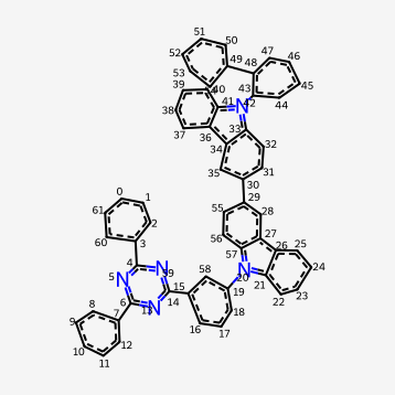 c1ccc(-c2nc(-c3ccccc3)nc(-c3cccc(-n4c5ccccc5c5cc(-c6ccc7c(c6)c6ccccc6n7-c6ccccc6-c6ccccc6)ccc54)c3)n2)cc1